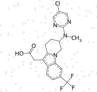 CN(c1ncc(Cl)cn1)C1CCc2c(CC(=O)O)c3ccc(C(F)(F)F)cc3n2C1